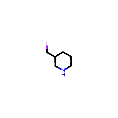 ICC1CCCNC1